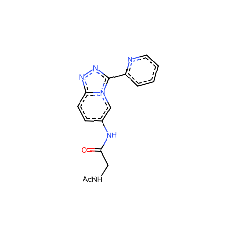 CC(=O)NCC(=O)Nc1ccc2nnc(-c3ccccn3)n2c1